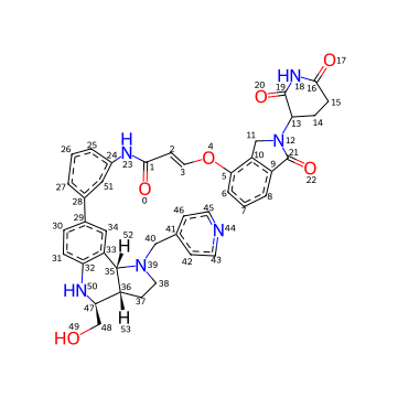 O=C(C=COc1cccc2c1CN(C1CCC(=O)NC1=O)C2=O)Nc1cccc(-c2ccc3c(c2)[C@H]2[C@H](CCN2Cc2ccncc2)[C@@H](CO)N3)c1